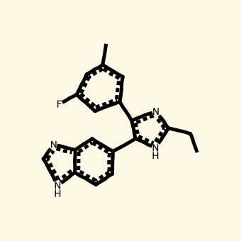 CCc1nc(-c2cc(C)cc(F)c2)c(-c2ccc3[nH]cnc3c2)[nH]1